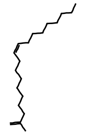 C=C(C)CCCCCCC/C=C\CCCCCCCC